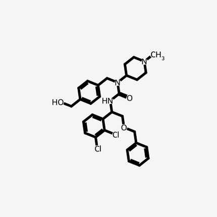 CN1CCC(N(Cc2ccc(CO)cc2)C(=O)NC(COCc2ccccc2)c2cccc(Cl)c2Cl)CC1